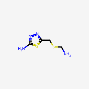 NCSCc1nnc(N)s1